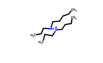 CCCCCNCCC.CCCCNCCC